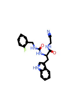 N#CCNC(=O)C(Cc1c[nH]c2ccccc12)NC(=O)NCc1ccccc1F